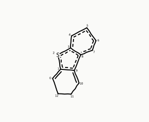 C1=c2sc3ccccc3c2=CCC1